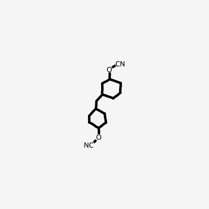 N#COC1CCC(CC2CCCC(OC#N)C2)CC1